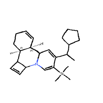 CC(C1=CC2[C@@H]3C=CCC[C@]3(C)C3C=CC3N2C=C1[Si](C)(C)C)C1CCCC1